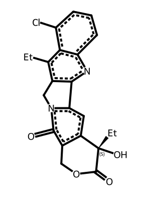 CCc1c2c(nc3cccc(Cl)c13)-c1cc3c(c(=O)n1C2)COC(=O)[C@]3(O)CC